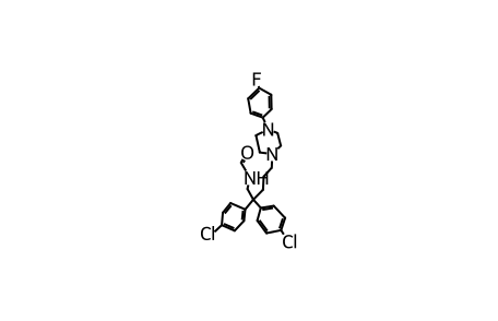 O=CNCC(CCCN1CCN(c2ccc(F)cc2)CC1)(c1ccc(Cl)cc1)c1ccc(Cl)cc1